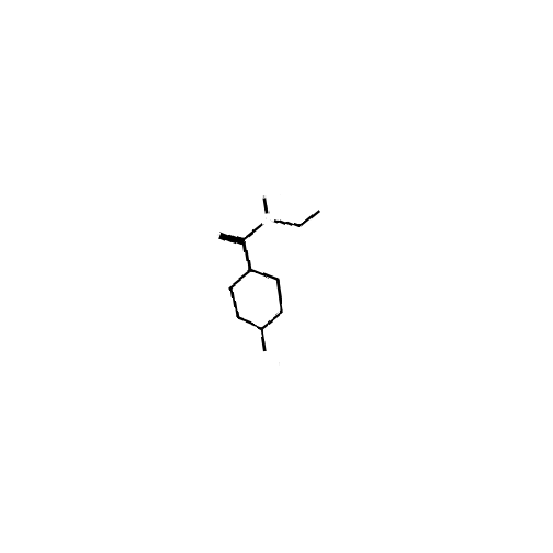 CCN(C)C(=O)C1CCC(C)CC1